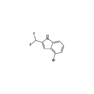 FC(F)c1cc2c(Br)cccc2[nH]1